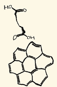 O=C(O)CCC(=O)O.c1cc2ccc3ccc4ccc5ccc6ccc1c1c2c3c4c5c61